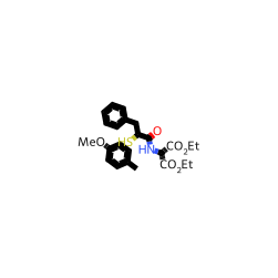 CCOC(=O)C(NC(=O)C(S)Cc1ccccc1)C(=O)OCC.COc1ccc(C)cc1